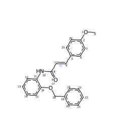 COc1ccc(/C=C/C(=O)Nc2ccccc2OCc2ccccc2)cc1